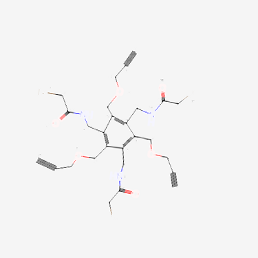 C#CCOCc1c(CNC(=O)CBr)c(COCC#C)c(CNC(=O)CBr)c(COCC#C)c1CNC(=O)CBr